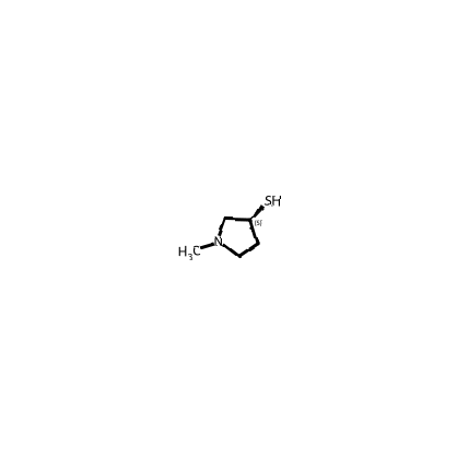 CN1CC[C@H](S)C1